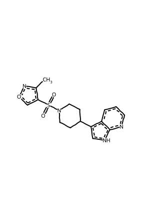 Cc1nocc1S(=O)(=O)N1CCC(c2c[nH]c3ncccc23)CC1